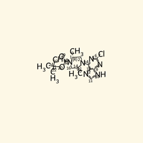 C[C@@H]1CN(c2nc(Cl)nc3[nH]cnc23)[C@@H](C)CN1C(=O)OC(C)(C)C